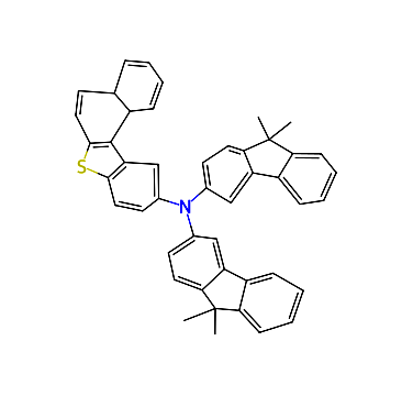 CC1(C)c2ccccc2-c2cc(N(c3ccc4c(c3)-c3ccccc3C4(C)C)c3ccc4sc5c(c4c3)C3C=CC=CC3C=C5)ccc21